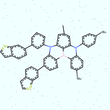 Cc1cc2c3c(c1)N(c1cccc(-c4ccc5ccsc5c4)c1)c1cc(-c4ccc5ccsc5c4)ccc1B3c1cc(C(C)(C)C)ccc1N2c1ccc(C(C)(C)C)cc1